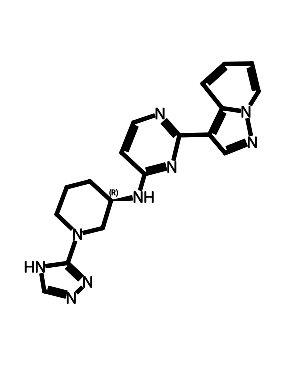 c1ccn2ncc(-c3nccc(N[C@@H]4CCCN(c5nnc[nH]5)C4)n3)c2c1